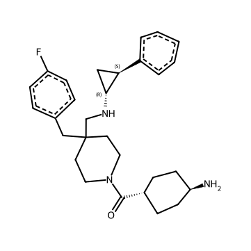 N[C@H]1CC[C@H](C(=O)N2CCC(CN[C@@H]3C[C@H]3c3ccccc3)(Cc3ccc(F)cc3)CC2)CC1